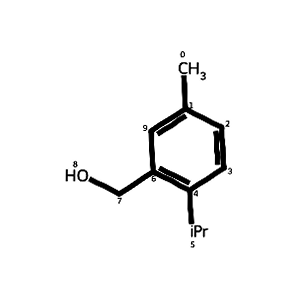 Cc1ccc(C(C)C)c(CO)c1